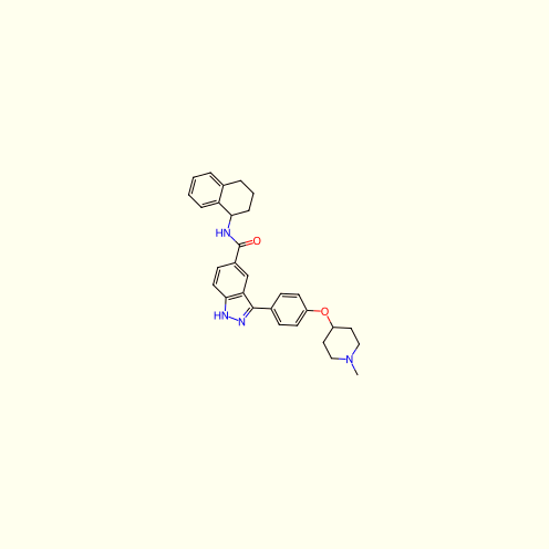 CN1CCC(Oc2ccc(-c3n[nH]c4ccc(C(=O)NC5CCCc6ccccc65)cc34)cc2)CC1